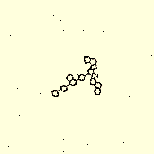 c1ccc(-c2ccc(-c3ccc(-c4ccc(-c5cc6c(sc7ccc8ccccc8c76)c6nc7c8ccc9ccccc9c8ccc7n56)cc4)c4ccccc34)cc2)cc1